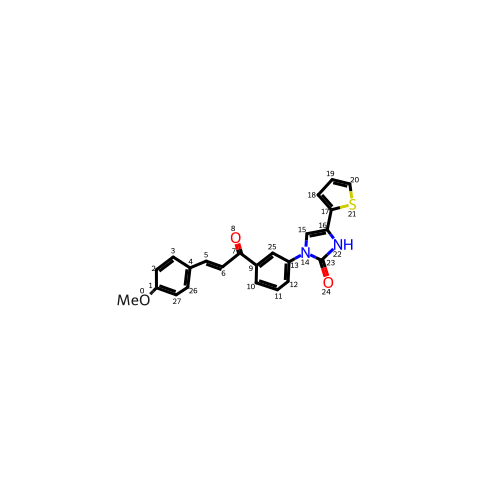 COc1ccc(C=CC(=O)c2cccc(-n3cc(-c4cccs4)[nH]c3=O)c2)cc1